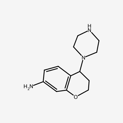 Nc1ccc2c(c1)OCCC2N1CCNCC1